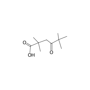 CC(C)(C)C(=O)CC(C)(C)C(=O)O